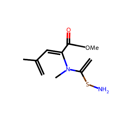 C=C(C)/C=C(/C(=O)OC)N(C)C(=C)SN